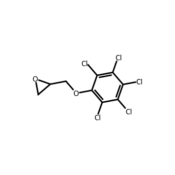 Clc1c(Cl)c(Cl)c(OCC2CO2)c(Cl)c1Cl